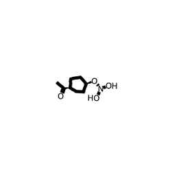 CC(=O)[C@H]1CC[C@@H](ON(O)O)CC1